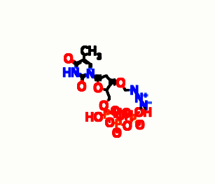 Cc1cn([C@H]2C[C@@H](OCN=[N+]=[N-])C(COP(=O)(O)OP(=O)(O)OP(=O)(O)O)O2)c(=O)[nH]c1=O